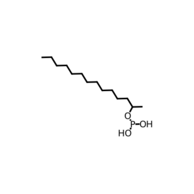 CCCCCCCCCCCCC(C)OP(O)O